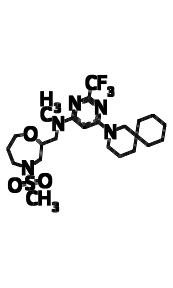 CN(CC1CN(S(C)(=O)=O)CCCO1)c1cc(N2CCCC3(CCCCC3)C2)nc(C(F)(F)F)n1